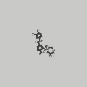 O=C(Nc1ccc(F)c(Cl)c1)c1ccc(CF)c(S(=O)(=O)N2CCOCC(O)C2)c1